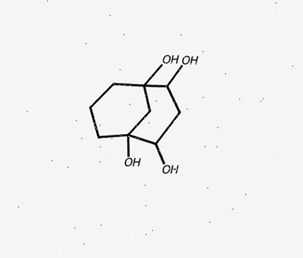 OC1CC(O)C2(O)CCCC1(O)C2